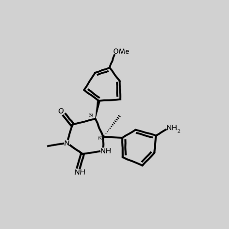 COc1ccc([C@@H]2C(=O)N(C)C(=N)N[C@]2(C)c2cccc(N)c2)cc1